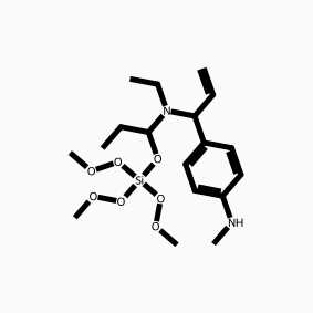 C=CC(c1ccc(NC)cc1)N(CC)C(CC)O[Si](OOC)(OOC)OOC